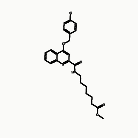 COC(=O)CCCCCCNC(=O)c1cc(OCc2ccc(Cl)cc2)c2ccccc2n1